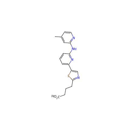 Cc1ccnc(Nc2cccc(-c3cnc(CCCC(=O)O)s3)n2)c1